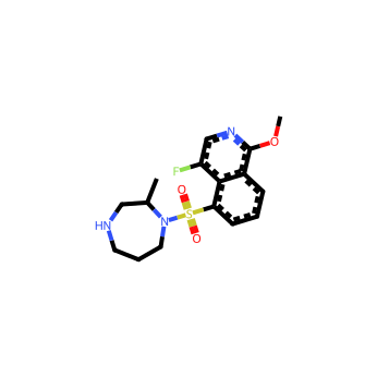 COc1ncc(F)c2c(S(=O)(=O)N3CCCNCC3C)cccc12